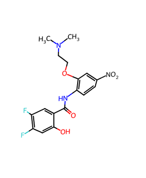 CN(C)CCOc1cc([N+](=O)[O-])ccc1NC(=O)c1cc(F)c(F)cc1O